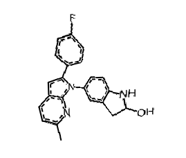 Cc1ccc2cc(-c3ccc(F)cc3)n(-c3ccc4c(c3)CC(O)N4)c2n1